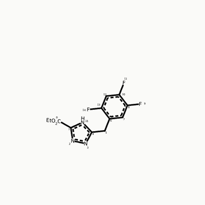 CCOC(=O)c1nnc(Cc2cc(F)c(F)cc2F)[nH]1